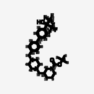 CC(C)(C)OC(=O)N1CCCC(CN2CCN(Cc3ccc(-c4ccc(C(O)(C(F)(F)F)C(F)(F)F)cc4)cc3)CC2)C1